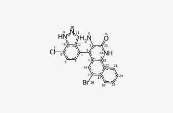 Nc1c(-c2ccc(Cl)c3[nH]ncc23)c2cc(Br)c3ccccc3c2[nH]c1=O